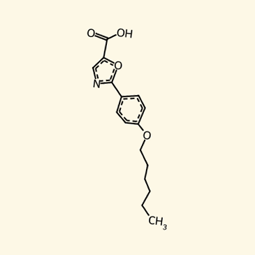 CCCCCCOc1ccc(-c2ncc(C(=O)O)o2)cc1